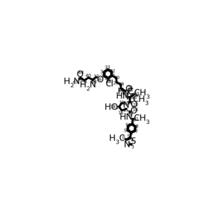 Cc1ncsc1-c1ccc(C(C)NC(=O)[C@@H]2C[C@@H](O)CN2C(=O)C(NC(=O)CCCCc2cccc(OCC(N)CCC(N)=O)c2Cl)C(C)(C)C)cc1